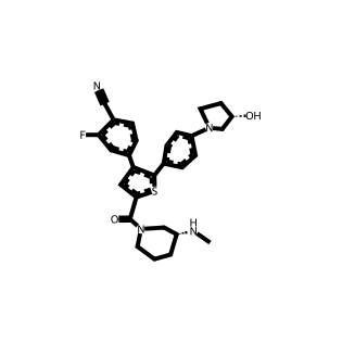 CN[C@@H]1CCCN(C(=O)c2cc(-c3ccc(C#N)c(F)c3)c(-c3ccc(N4CC[C@H](O)C4)cc3)s2)C1